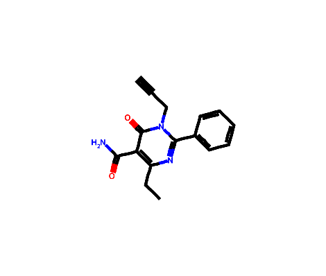 C#CCn1c(-c2ccccc2)nc(CC)c(C(N)=O)c1=O